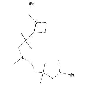 CC(C)CN1CCC1C(C)(C)CN(C)CCC(C)(C)CN(C)C(C)C